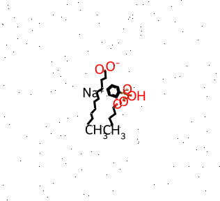 CCCCCCCCCCCC(=O)[O-].CCCCCOc1ccccc1S(=O)(=O)O.[Na+]